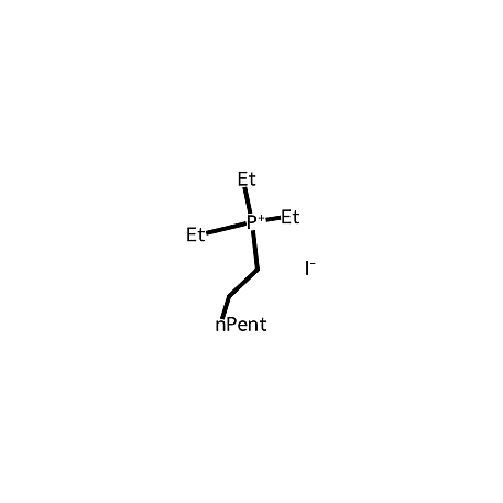 CCCCCCC[P+](CC)(CC)CC.[I-]